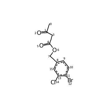 CC(=O)CC(=O)OCc1ccc(Br)c(Cl)c1